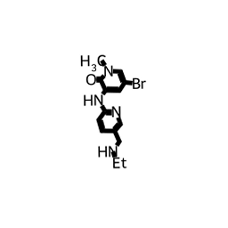 CCNCc1ccc(Nc2cc(Br)cn(C)c2=O)nc1